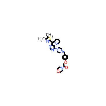 Cc1nc(-c2c3n(c4c(N5CCN(Cc6ccc(OCC(=O)N7CCOCC7)cc6)CC5)ncnc24)CCCC3)sc1C